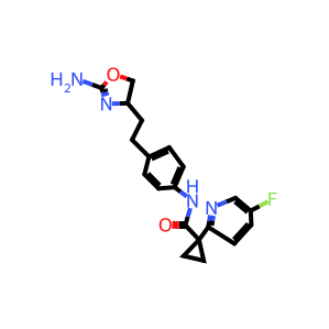 NC1=NC(CCc2ccc(NC(=O)C3(c4ccc(F)cn4)CC3)cc2)CO1